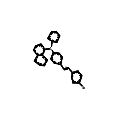 Brc1ccc(/C=C/c2ccc(N(c3ccccc3)c3cccc4ccccc34)cc2)cc1